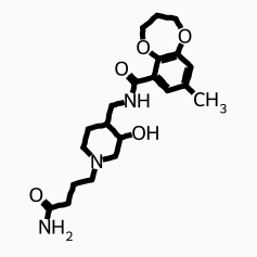 Cc1cc2c(c(C(=O)NCC3CCN(CCCC(N)=O)CC3O)c1)OCCCO2